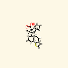 CC1(C)[C@](C)(C(=O)O)[C@@]1(C=C1CCCC1)c1cccc2c1CCc1ccsc1-2